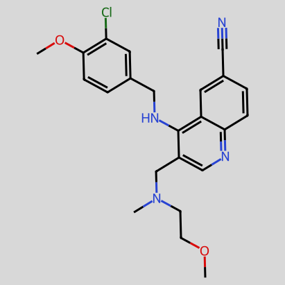 COCCN(C)Cc1cnc2ccc(C#N)cc2c1NCc1ccc(OC)c(Cl)c1